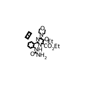 CCOC(=O)c1nc(-c2ccccc2NC(N)=O)nc(N2CCOCC2)c1OCC.c1cc2ccc1-2